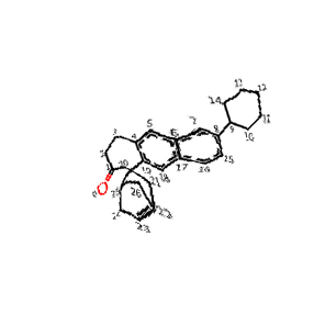 O=C1CCc2cc3cc(C4CCCCC4)ccc3cc2C12CC1=CCC2C1